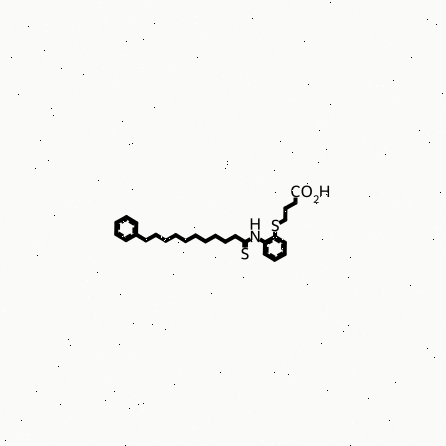 O=C(O)CCCSc1ccccc1NC(=S)CCCCCCCCCCc1ccccc1